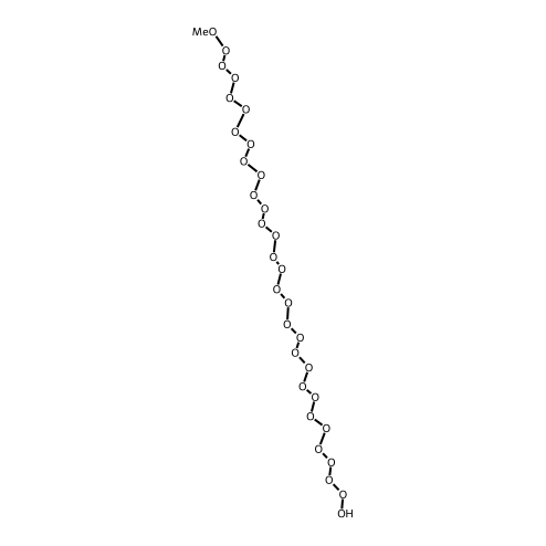 COOOOOOOOOOOOOOOOOOOOOOOOOOOOOOO